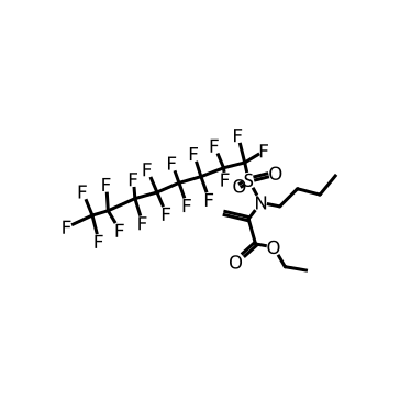 C=C(C(=O)OCC)N(CCCC)S(=O)(=O)C(F)(F)C(F)(F)C(F)(F)C(F)(F)C(F)(F)C(F)(F)C(F)(F)C(F)(F)F